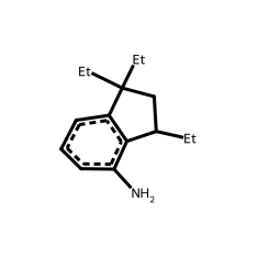 CCC1CC(CC)(CC)c2cccc(N)c21